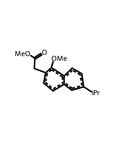 COC(=O)Cc1ccc2cc(C(C)C)ccc2c1OC